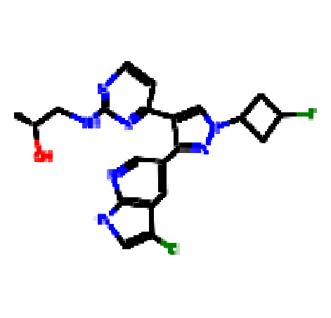 C[C@H](O)CNc1nccc(-c2cn(C3CC(F)C3)nc2-c2cnc3[nH]cc(Cl)c3c2)n1